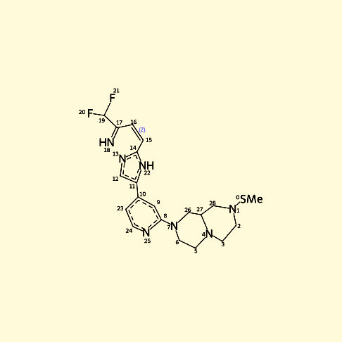 CSN1CCN2CCN(c3cc(-c4cnc(/C=C\C(=N)C(F)F)[nH]4)ccn3)CC2C1